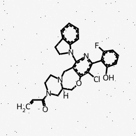 C=CC(=O)N1CCN2Cc3c(N4CCc5ccccc54)nc(-c4c(O)cccc4F)c(Cl)c3OC[C@H]2C1